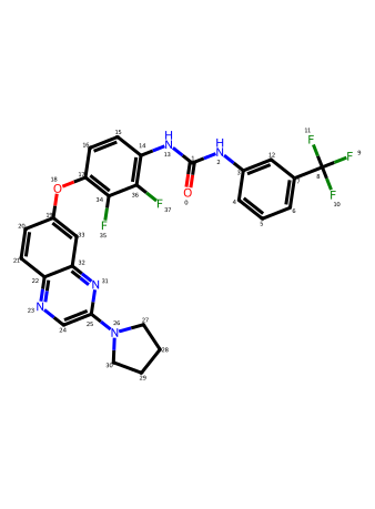 O=C(Nc1cccc(C(F)(F)F)c1)Nc1ccc(Oc2ccc3ncc(N4CCCC4)nc3c2)c(F)c1F